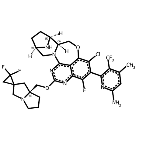 Cc1cc(N)nc(-c2c(Cl)c3c4c(nc(OC[C@@]56CCCN5CC5(CC5(F)F)C6)nc4c2F)N2C[C@H]4CC[C@H](N4)[C@H]2CO3)c1C(F)(F)F